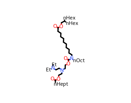 CCCCCCCCN(CCCCCCCCCCC(=O)OCC(CCCCCC)CCCCCC)C(=O)OCCN(CCOC(=O)CCCCCCC)CCN(CC)CC